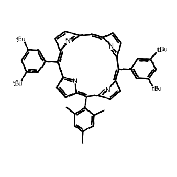 Cc1cc(C)c(C2=C3C=CC(=N3)C(c3cc(C(C)(C)C)cc(C(C)(C)C)c3)=C3C=CC(=N3)C=C3C=CC(=N3)C(c3cc(C(C)(C)C)cc(C(C)(C)C)c3)=C3C=CC2=N3)c(C)c1